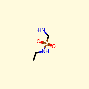 CCNS(=O)(=O)C[NH]